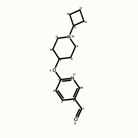 O=Cc1ccc(OC2CCN(C3CCC3)CC2)nc1